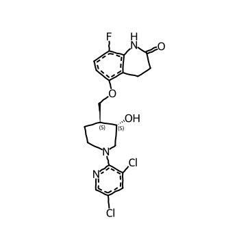 O=C1CCc2c(OC[C@@H]3CCN(c4ncc(Cl)cc4Cl)C[C@H]3O)ccc(F)c2N1